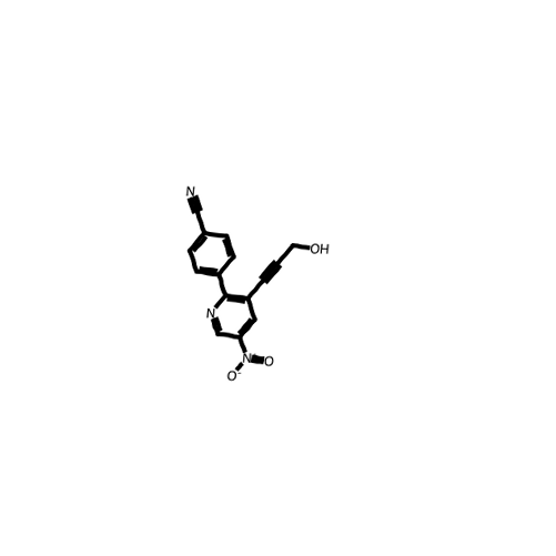 N#Cc1ccc(-c2ncc([N+](=O)[O-])cc2C#CCO)cc1